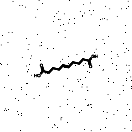 O=C(O)CCCC=CCCCC(=O)O